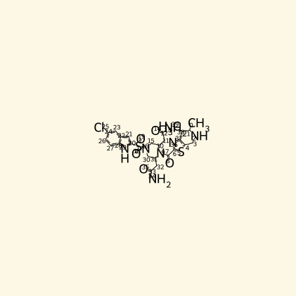 CC1NCc2sc(C(=O)N3C(CC(N)=O)CN(S(=O)(=O)c4cc5cc(Cl)ccc5[nH]4)CC3CC(N)=O)nc2C1C